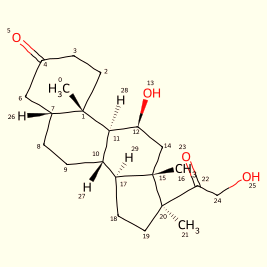 C[C@]12CCC(=O)C[C@H]1CC[C@@H]1[C@@H]2[C@@H](O)C[C@@]2(C)[C@H]1CC[C@]2(C)C(=O)CO